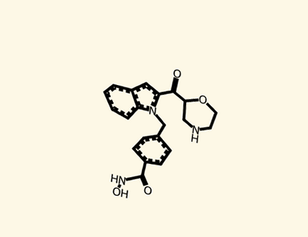 O=C(NO)c1ccc(Cn2c(C(=O)C3CNCCO3)cc3ccccc32)cc1